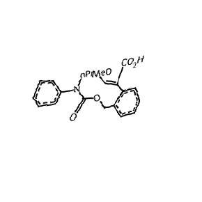 CCCN(C(=O)OCc1ccccc1C(=COC)C(=O)O)c1ccccc1